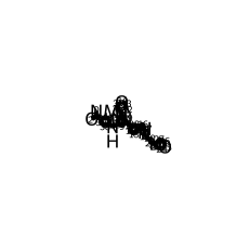 CNC(=O)c1ccc(Nc2cc(-c3ccc4c(cnn4CCCN4CCOCC4)c3)nc(N3CCOCC3)n2)cc1